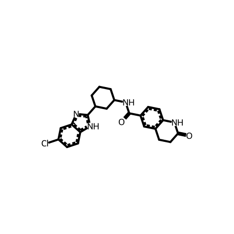 O=C1CCc2cc(C(=O)NC3CCCC(c4nc5cc(Cl)ccc5[nH]4)C3)ccc2N1